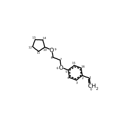 C=Cc1ccc(OCCOC2CCCC2)cc1